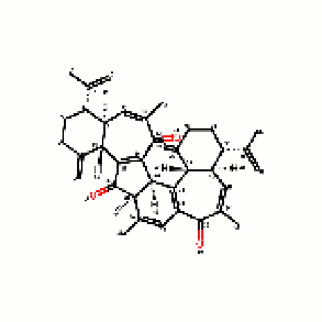 C=C1CC[C@H](C(=C)C)[C@H]2C=C(C)C(=O)C3=C(C(=O)[C@]4(C)C(C)=CC5=C([C@@H]6C(=C)CC[C@H](C(=C)C)[C@H]6C=C(C)C5=O)[C@H]34)[C@H]12